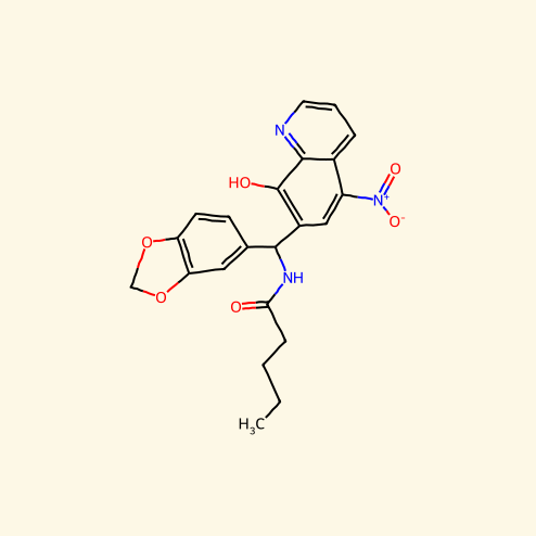 CCCCC(=O)NC(c1ccc2c(c1)OCO2)c1cc([N+](=O)[O-])c2cccnc2c1O